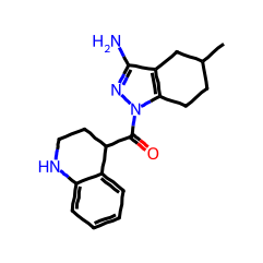 CC1CCc2c(c(N)nn2C(=O)C2CCNc3ccccc32)C1